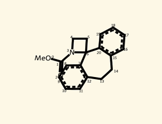 COC(=O)N1CCC12c1ccccc1CCc1ccccc12